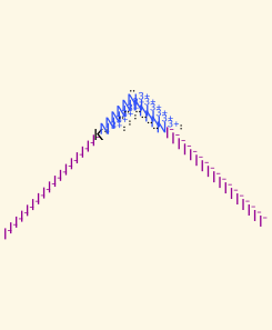 [I-].[I-].[I-].[I-].[I-].[I-].[I-].[I-].[I-].[I-].[I-].[I-].[I-].[I-].[I-].[I-].[I-].[I-].[I-].[I-].[I-].[I-].[I-].[I-].[I-].[I-].[I-].[I-].[I-].[I-].[I-].[I-].[I-].[I-].[K+].[N+3].[N+3].[N+3].[N+3].[N+3].[N+3].[N+3].[N+3].[N+3].[N+3].[N+3]